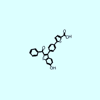 O=C(O)c1ccc(-c2ccc(-c3c(C(=O)c4ccccc4)sc4cc(O)ccc34)cc2)s1